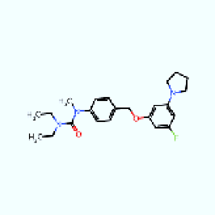 CCN(CC)C(=O)N(C)c1ccc(COc2cc(F)cc(N3CCCC3)c2)cc1